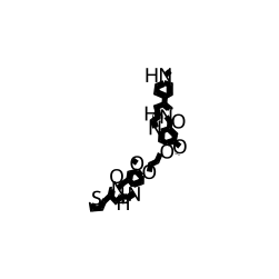 CNc1ccc(C2=CN3C(=O)c4cc(OC)c(OCCCOc5cc6c(cc5OC)C(=O)N5C=C(c7cccs7)C[C@H]5C=N6)cc4N=C[C@@H]3C2)cc1